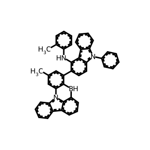 Cc1cc(-c2ccc3c(c2Nc2ccccc2C)c2ccccc2n3-c2ccccc2)c2c(c1)-n1c3ccccc3c3cccc(c31)B2